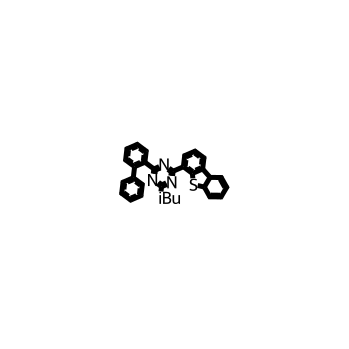 CCC(C)c1nc(-c2ccccc2-c2ccccc2)nc(-c2cccc3c2SC2C=CC=CC32)n1